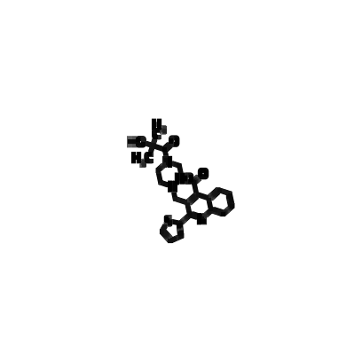 CC(C)(O)C(=O)N1CCN(Cc2c(-c3cccs3)nc3ccccc3c2C(=O)O)CC1